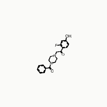 O=C(CN1CCN(C(=O)c2ccccc2)CC1)c1ccc(O)cc1F